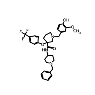 COc1cc(CN2CCCC(Oc3ccc(C(F)(F)F)cc3)(C(=O)NC3CCN(Cc4ccccc4)CC3)C2)ccc1O